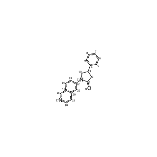 O=C1CC(c2ccccc2)CN1c1ccc2cnccc2c1